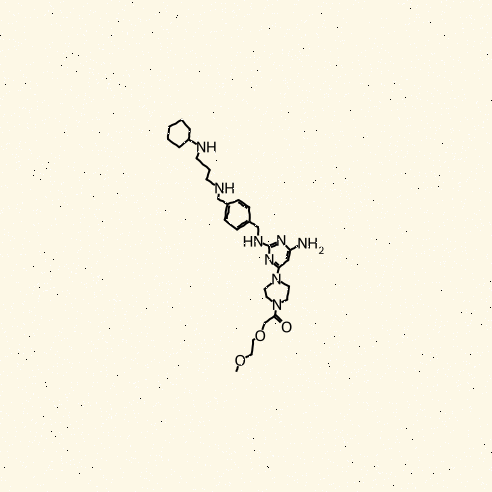 COCCOCC(=O)N1CCN(c2cc(N)nc(NCc3ccc(CNCCCNC4CCCCC4)cc3)n2)CC1